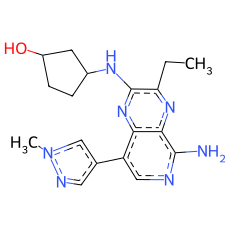 CCc1nc2c(N)ncc(-c3cnn(C)c3)c2nc1NC1CCC(O)C1